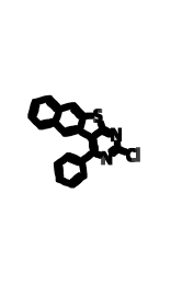 Clc1nc(-c2ccccc2)c2c(n1)sc1cc3ccccc3cc12